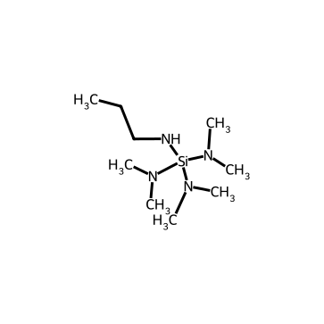 CCCN[Si](N(C)C)(N(C)C)N(C)C